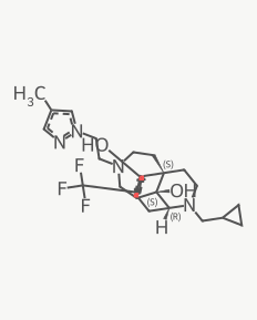 Cc1cnn(CCN2CC[C@]34CCN(CC5CC5)[C@H](Cc5cc(C(F)(F)F)c(O)cc53)[C@]4(O)CC2)c1